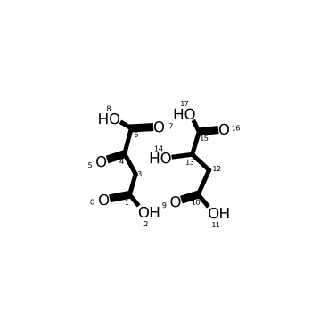 O=C(O)CC(=O)C(=O)O.O=C(O)CC(O)C(=O)O